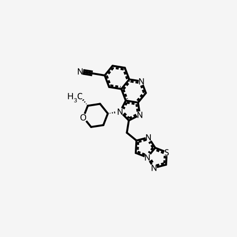 C[C@@H]1C[C@H](n2c(Cc3cn4ncsc4n3)nc3cnc4ccc(C#N)cc4c32)CCO1